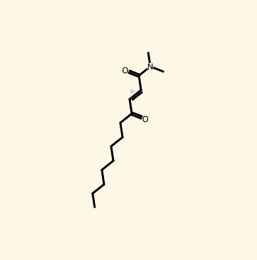 CCCCCCCCC(=O)/C=C/C(=O)N(C)C